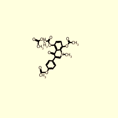 CC(=O)O.CC(=O)Oc1ccc(-c2cn(C)c3c(OC(C)=O)ccc(OC(C)=O)c3c2=O)cc1